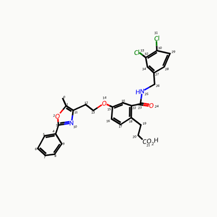 Cc1oc(-c2ccccc2)nc1CCOc1ccc(CCC(=O)O)c(C(=O)NCc2ccc(Cl)c(Cl)c2)c1